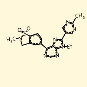 CCn1c(-c2cnc(C)nc2)nc2c(-c3ccc4c(c3)CN(C)S4(=O)=O)ncnc21